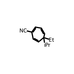 CCC1(C(C)C)C=CC=C(C#N)C=C1